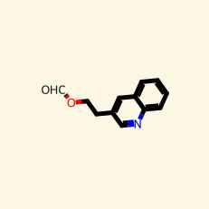 O=COCCc1cnc2ccccc2c1